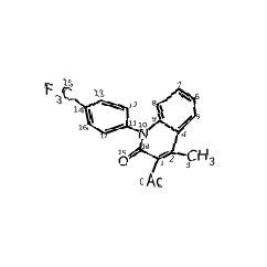 CC(=O)c1c(C)c2ccccc2n(-c2ccc(C(F)(F)F)cc2)c1=O